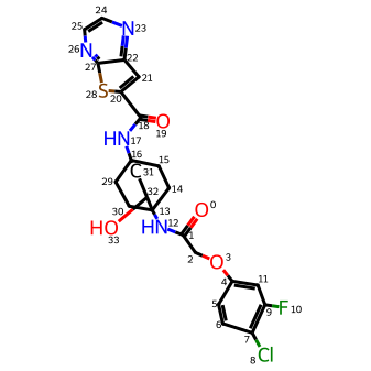 O=C(COc1ccc(Cl)c(F)c1)NC12CCC(NC(=O)c3cc4nccnc4s3)(CC1)CC2O